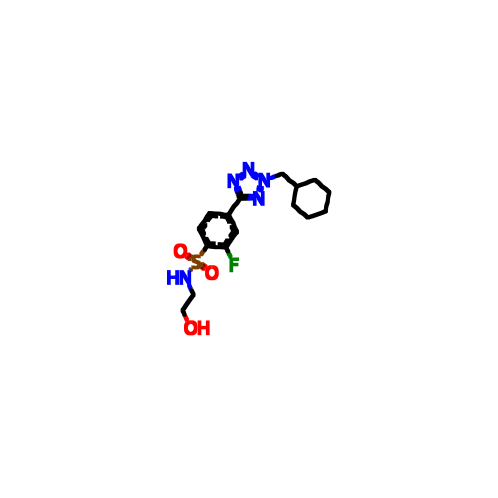 O=S(=O)(NCCO)c1ccc(-c2nnn(CC3CCCCC3)n2)cc1F